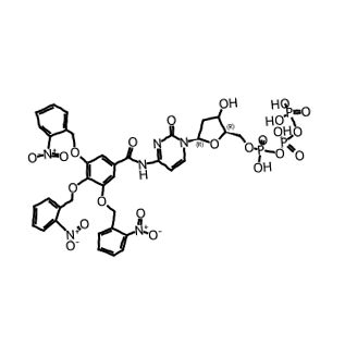 O=C(Nc1ccn([C@H]2CC(O)[C@@H](COP(=O)(O)OP(=O)(O)OP(=O)(O)O)O2)c(=O)n1)c1cc(OCc2ccccc2[N+](=O)[O-])c(OCc2ccccc2[N+](=O)[O-])c(OCc2ccccc2[N+](=O)[O-])c1